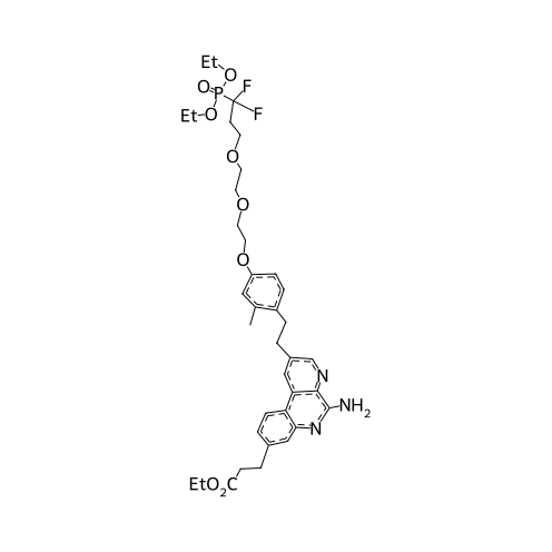 CCOC(=O)CCc1ccc2c(c1)nc(N)c1ncc(CCc3ccc(OCCOCCOCCC(F)(F)P(=O)(OCC)OCC)cc3C)cc12